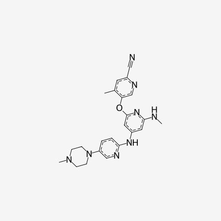 CNc1cc(Nc2ccc(N3CCN(C)CC3)cn2)cc(Oc2cnc(C#N)cc2C)n1